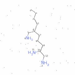 CCCCC(CN)CCCC(N)CN